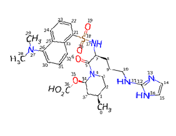 C[C@@H]1CCN(C(=O)[C@H](CCCNc2ncc[nH]2)NS(=O)(=O)c2cccc3c(N(C)C)cccc23)[C@H](OC(=O)O)C1